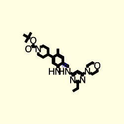 CCc1nc(N/C=C2/C=C(C)C(C3CCN(C(=O)OC(C)(C)C)CC3)=CC2=N)cc(N2CCOCC2)n1